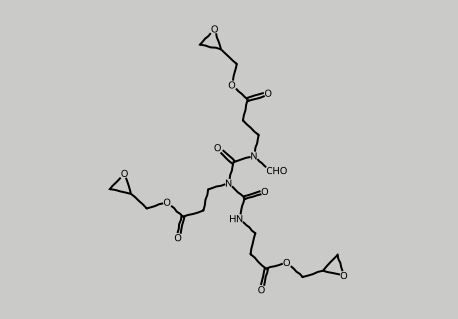 O=CN(CCC(=O)OCC1CO1)C(=O)N(CCC(=O)OCC1CO1)C(=O)NCCC(=O)OCC1CO1